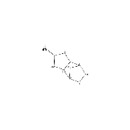 C[C](C)C1CC2C3CCC(C3)C2C1